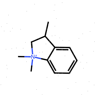 CC1C[N+](C)(C)c2ccccc21